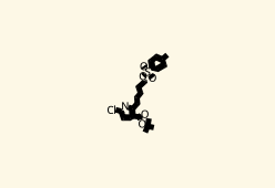 Cc1ccc(S(=O)(=O)OCCCCCc2nc(Cl)ccc2C(=O)OC(C)(C)C)cc1